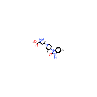 COC(=O)C(=N)CC(C)N1CCC(n2c(=O)[nH]c3cc(C)ccc32)C(C)C1